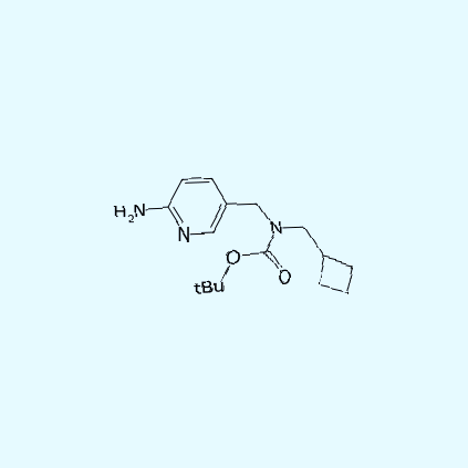 CC(C)(C)OC(=O)N(Cc1ccc(N)nc1)CC1CCC1